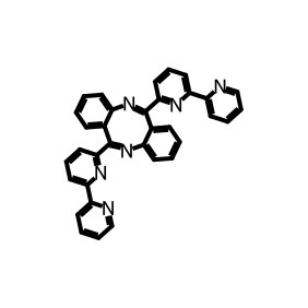 c1ccc(-c2cccc(/C3=N/c4ccccc4/C(c4cccc(-c5ccccn5)n4)=N\c4ccccc43)n2)nc1